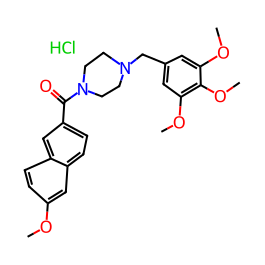 COc1ccc2cc(C(=O)N3CCN(Cc4cc(OC)c(OC)c(OC)c4)CC3)ccc2c1.Cl